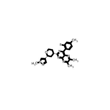 Cc1ccc(-c2nc([C@H]3CCO[C@@H](c4cnn(C)c4)C3)nc3nc(C)c(C)nc23)c(F)c1